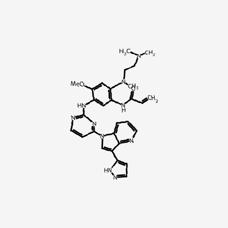 C=CC(=O)Nc1cc(Nc2nccc(-n3cc(-c4ccn[nH]4)c4ncccc43)n2)c(OC)cc1N(C)CCN(C)C